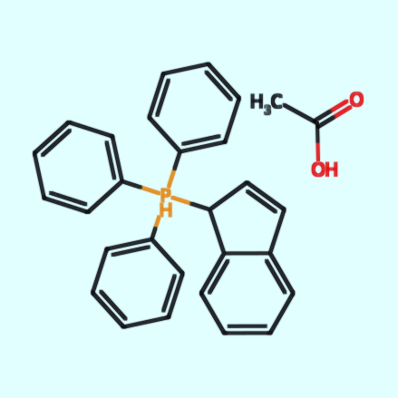 C1=CC([PH](c2ccccc2)(c2ccccc2)c2ccccc2)c2ccccc21.CC(=O)O